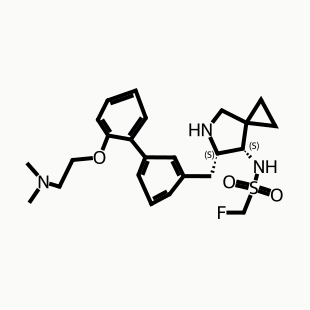 CN(C)CCOc1ccccc1-c1cccc(C[C@@H]2NCC3(CC3)[C@@H]2NS(=O)(=O)CF)c1